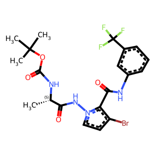 C[C@H](NC(=O)OC(C)(C)C)C(=O)Nn1ccc(Br)c1C(=O)Nc1cccc(C(F)(F)F)c1